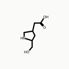 O=C(O)CC1CNC(CO)C1